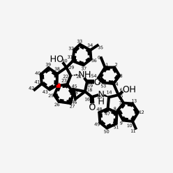 Cc1ccc(C(O)(c2ccc(C)cc2)[C@H](NC(=O)C2(C(=O)N[C@H](c3ccccc3)C(O)(c3ccc(C)cc3)c3ccc(C)cc3)CC2)c2ccccc2)cc1